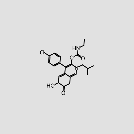 CCNC(=O)OC1=C(c2ccc(Cl)cc2)C2=CC(O)C(=O)CC2=CN1CC(C)C